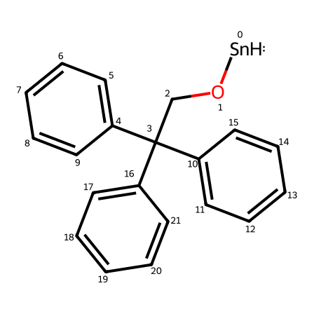 [SnH][O]CC(c1ccccc1)(c1ccccc1)c1ccccc1